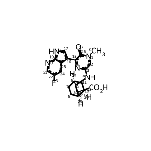 Cn1cc(NC2[C@H]3CC[C@H](CC3)[C@@H]2C(=O)O)nc(-c2c[nH]c3ncc(F)cc23)c1=O